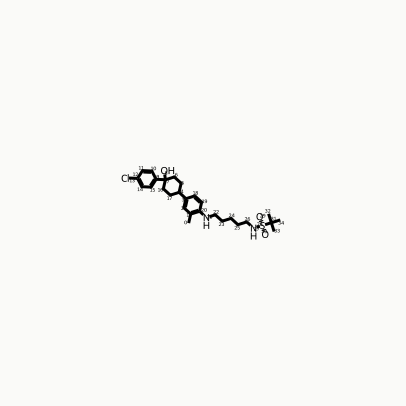 Cc1cc(C2CCC(O)(c3ccc(Cl)cc3)CC2)ccc1NCCCCCNS(=O)(=O)C(C)(C)C